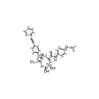 CC[C@@H]1[C@@H](c2ccc(C#Cc3ccccc3)cc2)[C@@H]2CN(C(=O)Nc3ccc(OC4CC4)cc3)C[C@@H](O)[C@@H](O)CN12